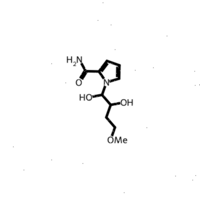 COCCC(O)C(O)n1cccc1C(N)=O